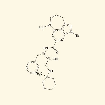 CCn1cc2c3c(cc(C(=O)N[C@@H](Cc4ccccc4)[C@H](O)CNC4(C)CCCCC4)cc31)N(C)SCC2